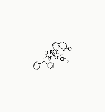 CC(C)(CN1C(=O)CCc2ccccc21)OC(=O)N1C(=O)CC(c2ccccc2)c2ccccc21